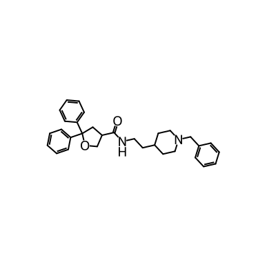 O=C(NCCC1CCN(Cc2ccccc2)CC1)C1COC(c2ccccc2)(c2ccccc2)C1